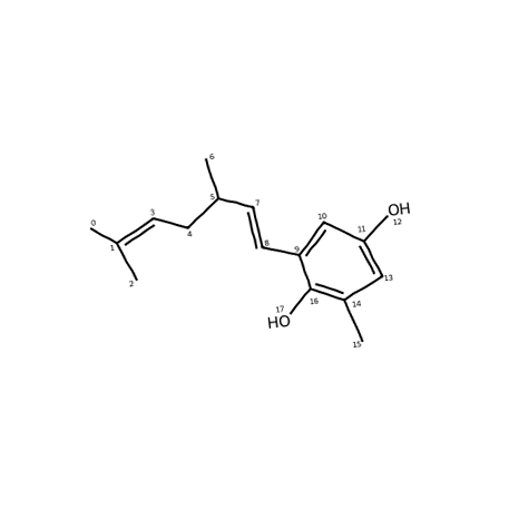 CC(C)=CCC(C)/C=C/c1cc(O)cc(C)c1O